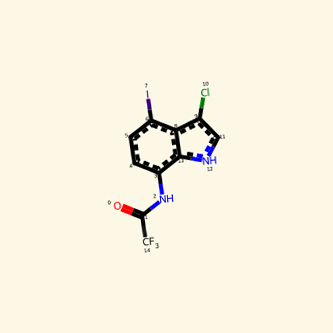 O=C(Nc1ccc(I)c2c(Cl)c[nH]c12)C(F)(F)F